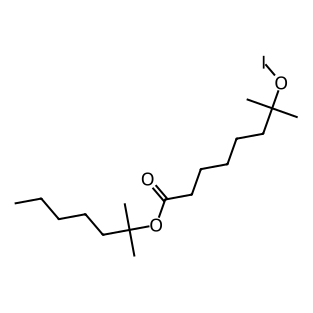 CCCCCC(C)(C)OC(=O)CCCCCC(C)(C)OI